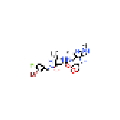 CCc1nc2c(cnn2CC)c(NC2CCOCC2)c1CNC(=O)c1cc(C)cc(C(=O)NCc2ccc(F)c(Br)c2)c1